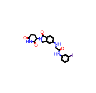 O=C1CCC(N2Cc3cc(NCC(=O)Nc4cccc(I)c4)ccc3C2=O)C(=O)N1